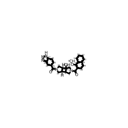 COc1c(C(=O)N2CC3[C@H]4CN(C(=O)c5ccc6[nH]nnc6c5)C[C@H]4C3(O)C2)ccc2ccccc12